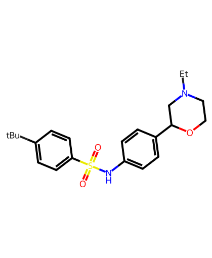 CCN1CCOC(c2ccc(NS(=O)(=O)c3ccc(C(C)(C)C)cc3)cc2)C1